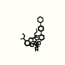 CCCC(C)C1=Cc2c(C(C)CC)cccc2[CH]1[Zr]([Cl])([Cl])([CH]1C(C)=Cc2c(-c3ccc(C4CCCCC4)cc3)cccc21)[SiH](C)C